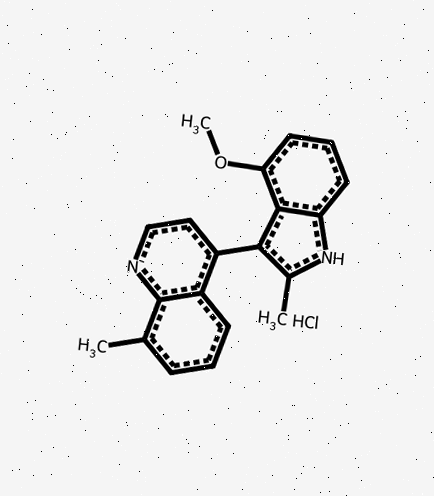 COc1cccc2[nH]c(C)c(-c3ccnc4c(C)cccc34)c12.Cl